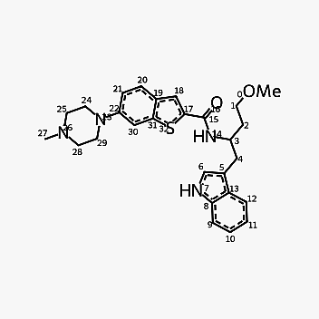 COCCC(Cc1c[nH]c2ccccc12)NC(=O)c1cc2ccc(N3CCN(C)CC3)cc2s1